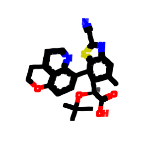 Cc1cc2nc(C#N)sc2c(-c2ccc3c4c(ccnc24)CCO3)c1[C@H](OC(C)(C)C)C(=O)O